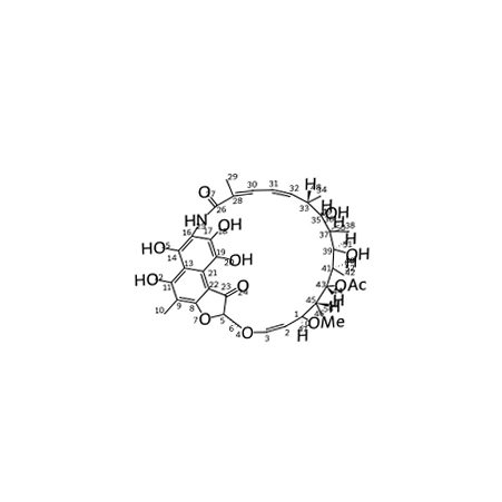 CO[C@H]1/C=C\O[C@@]2(C)Oc3c(C)c(O)c4c(O)c(c(O)c(O)c4c3C2=O)NC(=O)/C(C)=C\C=C/[C@H](C)[C@H](O)[C@@H](C)[C@@H](O)[C@@H](C)[C@H](OC(C)=O)[C@@H]1C